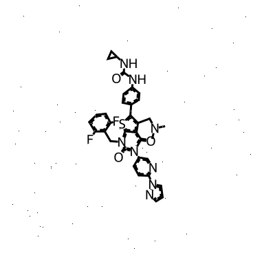 CN(C)Cc1c(-c2ccc(NC(=O)NC3CC3)cc2)sc2c1c(=O)n(-c1ccc(-n3cccn3)nc1)c(=O)n2Cc1c(F)cccc1F